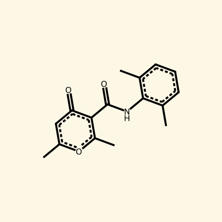 Cc1cc(=O)c(C(=O)Nc2c(C)cccc2C)c(C)o1